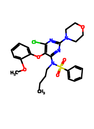 CCCCN(c1nc(N2CCOCC2)nc(Cl)c1Oc1ccccc1OC)S(=O)(=O)c1ccccc1